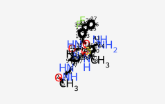 CC(=O)NCCNC[C@@]12C[C@@H]1N(C(=O)CNC(=O)c1ccc3c(c1)-c1ccccc1C3(F)F)[C@H](C(=O)N[C@H](C)c1cc(C(=N)N)cs1)C2